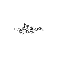 Cc1ccc2c(c1)CCn1nc(-c3ccc(C(=O)Nc4nccc(C)n4)c(C)c3F)c(C(N)=O)c1N2